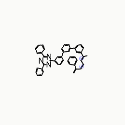 C=C(/C=C\C=C(/C)c1cccc(-c2cccc(-c3cccc(-c4nc(-c5ccccc5)nc(-c5ccccc5)n4)c3)c2)c1)c1ccccc1